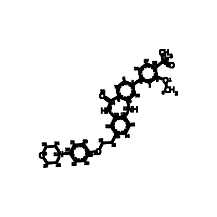 COc1cc(-c2ccc3c(c2)Nc2ccc(CCOc4ccc(N5CCOCC5)cc4)cc2NC3=O)ccc1C(C)=O